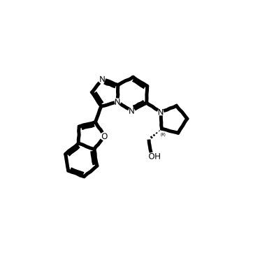 OC[C@H]1CCCN1c1ccc2ncc(-c3cc4ccccc4o3)n2n1